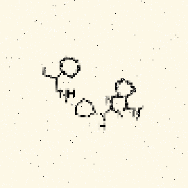 CCC(CNC[C@H]1CC[C@@H](Nc2nc(N(C)C)c3ccccc3n2)CC1)c1ccccc1